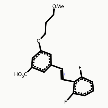 COCCCOc1cc(/C=C/c2c(F)cccc2F)cc(C(=O)O)c1